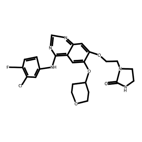 O=C1NCCN1CCOc1cc2ncnc(Nc3ccc(F)c(Cl)c3)c2cc1OC1CCOCC1